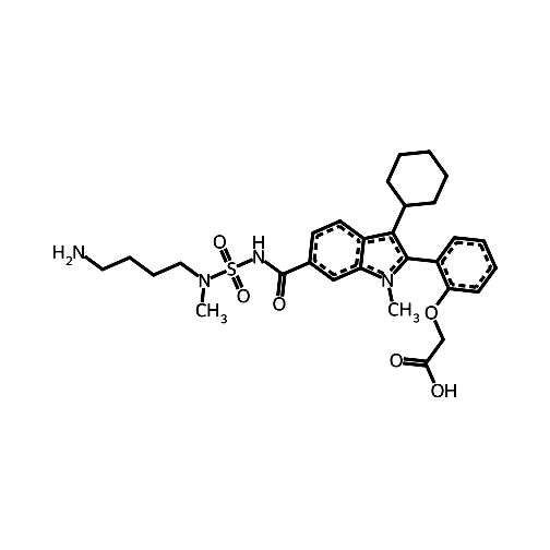 CN(CCCCN)S(=O)(=O)NC(=O)c1ccc2c(C3CCCCC3)c(-c3ccccc3OCC(=O)O)n(C)c2c1